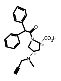 C#CCN(C)[C@H]1C[C@@H](C(=O)O)N(C(=O)C(c2ccccc2)c2ccccc2)C1